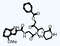 COc1cccc2[nH]c(C(=O)NCC(=O)N(C(C)C)C(C[C@@H]3CCCNC3=O)C(=O)COC(=O)c3ccccc3)cc12